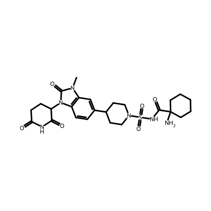 Cn1c(=O)n(C2CCC(=O)NC2=O)c2ccc(C3CCN(S(=O)(=O)NC(=O)C4(N)CCCCC4)CC3)cc21